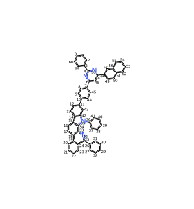 c1ccc(-c2nc(-c3ccc(-c4ccc5c6ccc7c8ccccc8c(-c8ccccc8)nc7c6n(-c6ccccc6)c5c4)cc3)cc(-c3ccc4ccccc4c3)n2)cc1